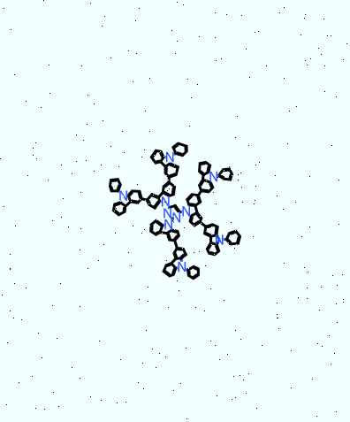 c1ccc(-n2c3ccccc3c3cc(-c4ccc5c(c4)c4cc(-c6ccc7c(c6)c6ccccc6n7-c6ccccc6)ccc4n5-c4cc(-n5c6ccc(-c7ccc8c(c7)c7ccccc7n8-c7ccccc7)cc6c6cc(-c7ccc8c(c7)c7ccccc7n8-c7ccccc7)ccc65)nc(-n5c6ccccc6c6cc(-c7ccc8c(c7)c7ccccc7n8-c7ccccc7)ccc65)n4)ccc32)cc1